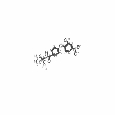 CC(C)(C)NC(=O)c1ccc(Oc2ccc([N+](=O)[O-])cc2Cl)cn1